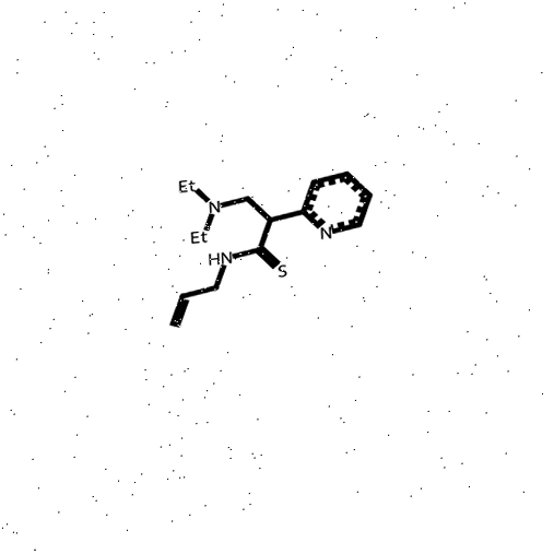 C=CCNC(=S)C(CN(CC)CC)c1ccccn1